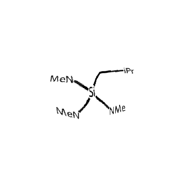 CN[Si](CC(C)C)(NC)NC